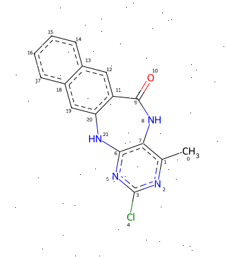 Cc1nc(Cl)nc2c1NC(=O)c1cc3ccccc3cc1N2